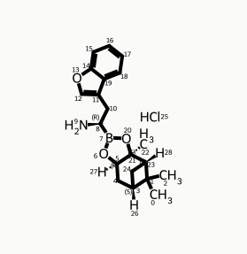 CC1(C)[C@@H]2C[C@H]3OB([C@@H](N)Cc4coc5ccccc45)O[C@@]3(C)[C@H]1C2.Cl